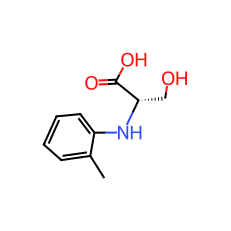 Cc1ccccc1N[C@@H](CO)C(=O)O